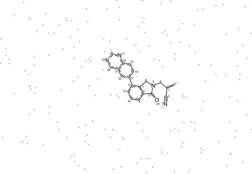 C=C(C#N)CN1Cc2c(cccc2-c2ccc3ncncc3c2)C1=O